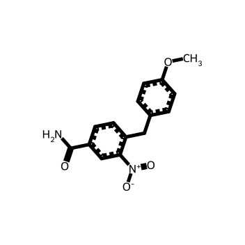 COc1ccc(Cc2ccc(C(N)=O)cc2[N+](=O)[O-])cc1